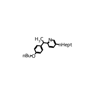 CCCCCCCc1ccc(C(C)c2ccc(OCCCC)cc2)nc1